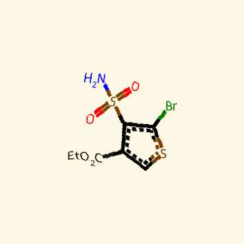 CCOC(=O)c1csc(Br)c1S(N)(=O)=O